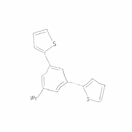 CC(C)c1cc(-c2cccs2)cc(-c2cccs2)c1